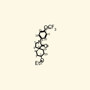 CCO[C@H]1CC[C@]2(CCN(c3ccc(OC(F)(F)F)cc3)C2=O)CC1